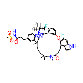 [2H]C([2H])([2H])n1nc2nc1-c1cc(ccc1F)Oc1c(F)cc3[nH]ccc3c1CCC(=O)N(C)CC(C)(C)CCCC2(C)c1cccc(CCC(=O)NS(C)(=O)=O)c1